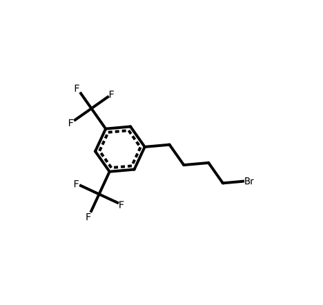 FC(F)(F)c1cc(CCCCBr)cc(C(F)(F)F)c1